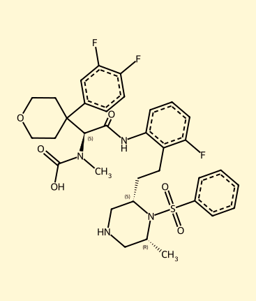 C[C@@H]1CNC[C@H](CCc2c(F)cccc2NC(=O)[C@@H](N(C)C(=O)O)C2(c3ccc(F)c(F)c3)CCOCC2)N1S(=O)(=O)c1ccccc1